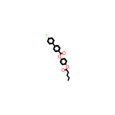 CCCCC(=O)Oc1ccc(OC(=O)c2ccc(-c3ccc(F)cc3)cc2)cc1